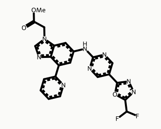 COC(=O)Cn1cnc2c(-c3ccccn3)cc(Nc3ncc(-c4nnc(C(F)F)o4)cn3)cc21